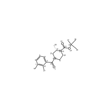 Cc1cccc(C(=O)N2CCN(C(=O)OC(C)(C)C)[C@@H](C)C2)c1C